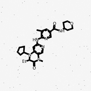 CCC1C(=O)N(C)c2cnc(Nc3ncc(C(=O)NC4CCOCC4)cc3C)cc2N1C1CCCC1